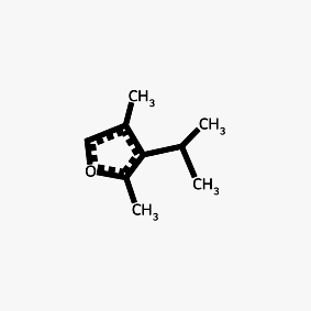 Cc1coc(C)c1C(C)C